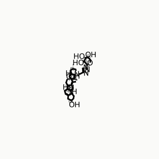 CC1=C2C[C@H]3[C@@H](CC=C4C[C@@H](O)CC[C@@]43C)[C@@H]2CC[C@]12O[C@@H]1C[C@H](C)CN(Cc3cn([C@@H]4OC[C@@H](O)C(O)[C@@H]4O)nn3)[C@H]1[C@H]2C